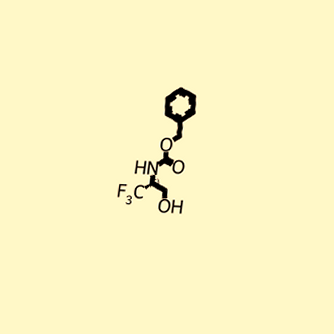 O=C(N[C@@H](CO)C(F)(F)F)OCc1ccccc1